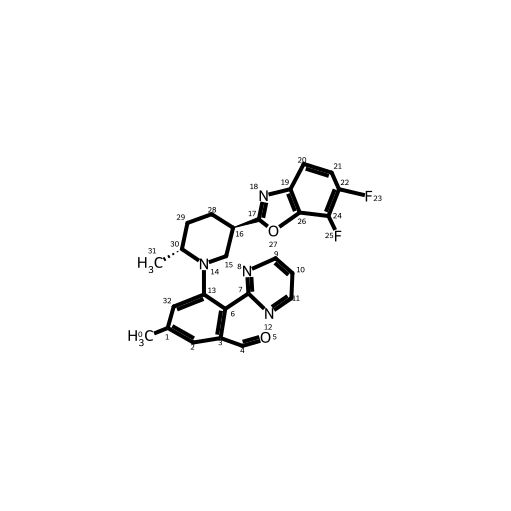 Cc1cc(C=O)c(-c2ncccn2)c(N2C[C@H](c3nc4ccc(F)c(F)c4o3)CC[C@H]2C)c1